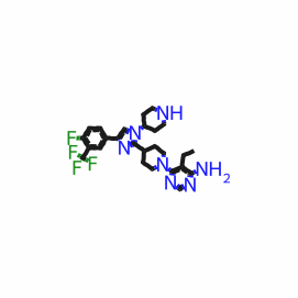 CCc1c(N)ncnc1N1CCC(c2nc(-c3ccc(F)c(C(F)(F)F)c3)cn2C2CCNCC2)CC1